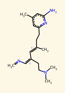 C=N/C=C(\C=C(/C)CCc1cc(C)cc(N)n1)CCN(C)C